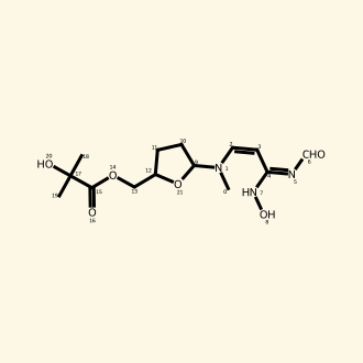 CN(/C=C\C(=N/C=O)NO)C1CCC(COC(=O)C(C)(C)O)O1